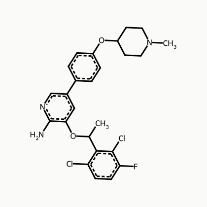 CC(Oc1cc(-c2ccc(OC3CCN(C)CC3)cc2)cnc1N)c1c(Cl)ccc(F)c1Cl